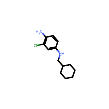 Nc1ccc(NCC2CCCCC2)cc1Cl